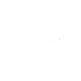 CC(c1ccc2ccc(OC3CCC(C(F)(F)F)CC3)c(C(F)(F)F)c2c1)N1C2CCCC1CC(C(=O)O)C2